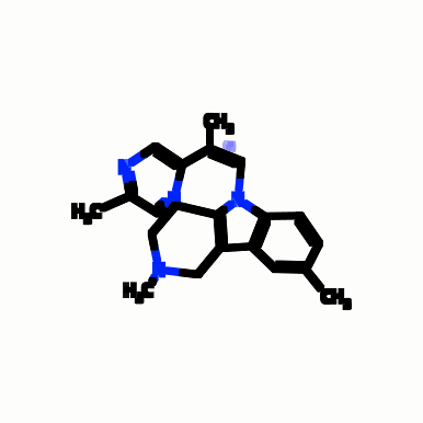 C/C(=C/n1c2c(c3cc(C)ccc31)CN(C)CC2)c1cnc(C)cn1